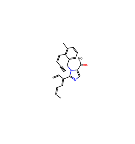 C#C/C=C\c1c(C)cccc1Cn1c(C(=O)N=O)cnc1/C(C=C)=C/C=C\C